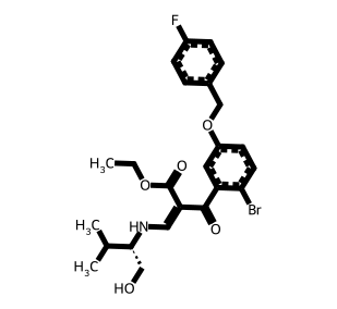 CCOC(=O)/C(=C\N[C@H](CO)C(C)C)C(=O)c1cc(OCc2ccc(F)cc2)ccc1Br